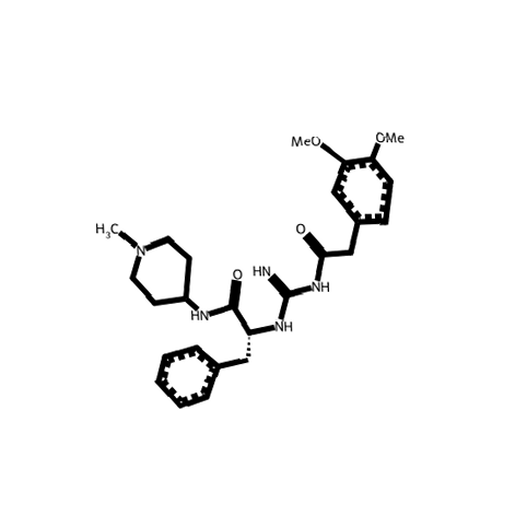 COc1ccc(CC(=O)NC(=N)N[C@H](Cc2ccccc2)C(=O)NC2CCN(C)CC2)cc1OC